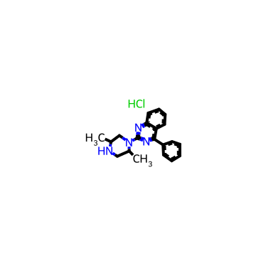 CC1CN(c2nc(-c3ccccc3)c3ccccc3n2)C(C)CN1.Cl